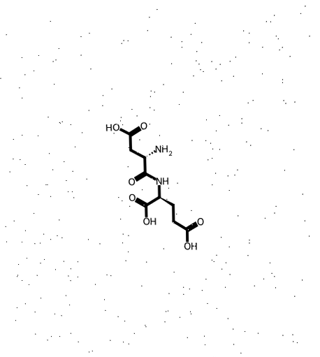 N[C@@H](CC(=O)O)C(=O)N[C@@H](CCC(=O)O)C(=O)O